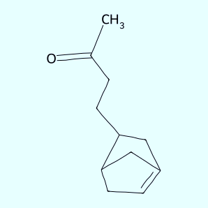 CC(=O)CCC1CC2=CCC1C2